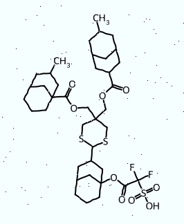 CC1CC2CC(C1)CC(C(=O)OCC1(COC(=O)C34CCCC(CC(C)C3)C4)CSC(C3CC4CCCC(OC(=O)C(F)(F)S(=O)(=O)O)(C4)C3)SC1)C2